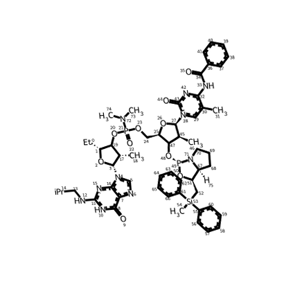 CC[C@H]1O[C@@H](n2cnc3c(=O)[nH]c(NCC(C)C)nc32)[C@@H](C)C1OP(=O)(OC[C@H]1O[C@@H](n2cc(C)c(NC(=O)c3ccccc3)nc2=O)[C@@H](C)C1O[P@@]1O[C@H](C[Si](C)(c2ccccc2)c2ccccc2)[C@@H]2CCCN21)N(C)C